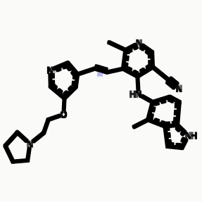 Cc1ncc(C#N)c(Nc2ccc3[nH]ccc3c2C)c1/C=C/c1cncc(OCCN2CCCC2)c1